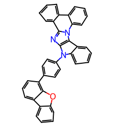 c1ccc2c(c1)oc1c(-c3ccc(-n4c5ccccc5c5c4nc4c6ccccc6c6ccccc6n45)cc3)cccc12